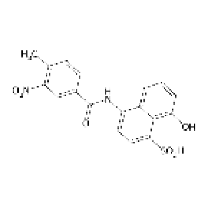 Cc1ccc(C(=O)Nc2ccc(S(=O)(=O)O)c3c(O)cccc23)cc1[N+](=O)[O-]